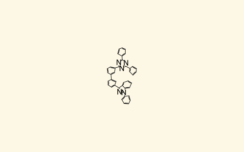 c1ccc(-c2nc(-c3ccccc3)nc(-c3cccc(-c4cccc(-c5nn(-c6ccccc6)c6ccccc56)c4)c3)n2)cc1